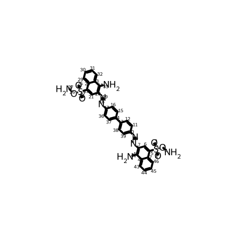 NOS(=O)(=O)c1cc(/N=N/c2ccc(-c3ccc(/N=N/c4cc(S(=O)(=O)ON)c5ccccc5c4N)cc3)cc2)c(N)c2ccccc12